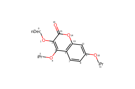 CCCCCCCCCCOc1c(OC(C)C)c2ccc(OC(C)C)cc2oc1=O